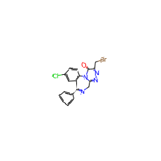 O=c1c(CBr)nnc2n1-c1ccc(Cl)cc1C(c1ccccc1)=NC2